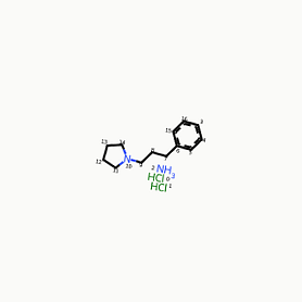 Cl.Cl.N.c1ccc(CCCN2CCCC2)cc1